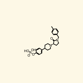 Cc1ccc(CN2CC[C@@H](N3CCC(c4ccc(OP(=O)(O)O)cc4)CC3)C2=O)cc1